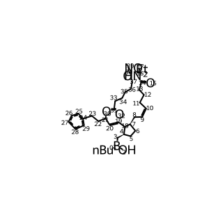 CCCCB(O)C[C@@H]1CC[C@H](C/C=C\CCCC(=O)NCC)C1/C=C/C(CCc1ccccc1)OC(=O)CCCCCO[N+](=O)[O-]